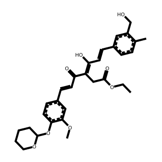 CCOC(=O)C/C(C(=O)/C=C/c1ccc(OC2CCCCO2)c(OC)c1)=C(O)\C=C\c1ccc(C)c(CO)c1